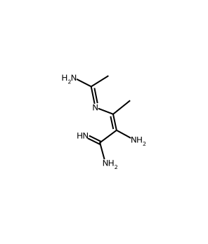 C/C(N)=N\C(C)=C(\N)C(=N)N